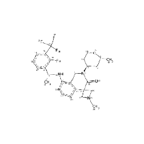 C[C@@H]1C[C@@H](N2Cc3c(N[C@H](C)c4cccc(C(F)(F)F)c4F)ncnc3C3(CN(C)C3)C2=O)CCO1